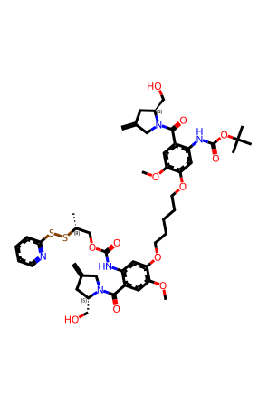 C=C1C[C@@H](CO)N(C(=O)c2cc(OC)c(OCCCCCOc3cc(NC(=O)OC(C)(C)C)c(C(=O)N4CC(=C)C[C@H]4CO)cc3OC)cc2NC(=O)OC[C@@H](C)SSc2ccccn2)C1